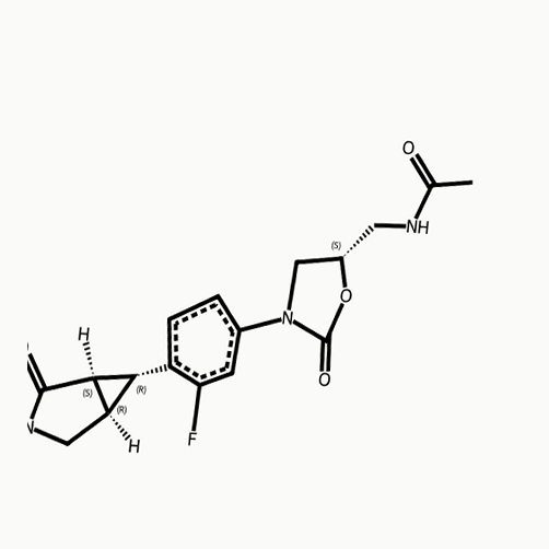 CC(=O)NC[C@H]1CN(c2ccc([C@@H]3[C@H]4CNC(=O)[C@H]43)c(F)c2)C(=O)O1